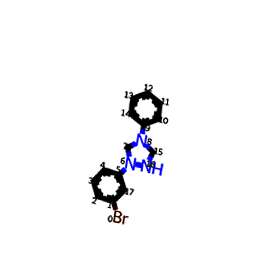 Brc1cccc(N2CN(c3ccccc3)CN2)c1